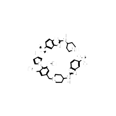 CCOc1cc(CN2CCC(Nc3nc4cc(S(=O)(=O)CC)ccc4o3)CC2)cc(OCC)c1-n1cccc1.CCS(=O)(=O)c1ccc2oc(NC3CCNCC3)nc2c1